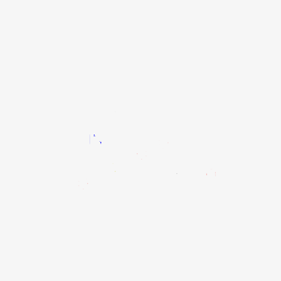 CC(C)C(CS(=O)(=O)NCc1ccccc1)C(=O)O